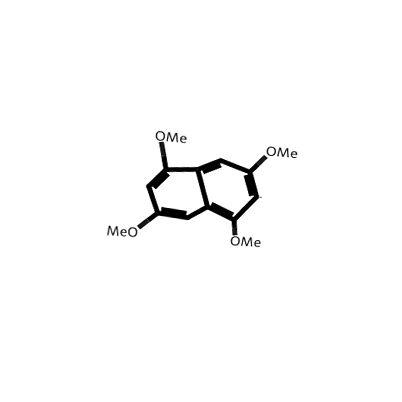 COc1[c]c(OC)c2cc(OC)cc(OC)c2c1